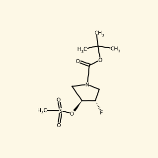 CC(C)(C)OC(=O)N1C[C@H](OS(C)(=O)=O)[C@@H](F)C1